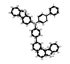 C1=CC(c2ccccc2)CC=C1N(c1ccc(-c2ccc3ccc4sc5ccccc5c4c3c2)cc1)c1ccc2c(c1)oc1ccccc12